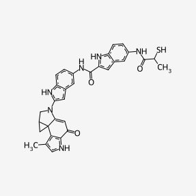 Cc1c[nH]c2c1C13CC1CN(c1cc4cc(NC(=O)c5cc6cc(NC(=O)C(C)S)ccc6[nH]5)ccc4[nH]1)C3=CC2=O